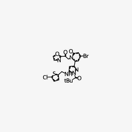 CC(C)(C)C(=O)n1nc(-c2cc(Br)cc(=O)n2CC(=O)c2ncco2)cc1NCc1ccc(Cl)s1